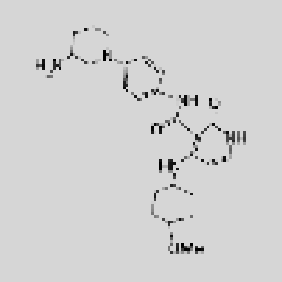 COC1CCC(Nc2cc[nH]c(=O)c2C(=O)Nc2ccc(N3CCCC(N)C3)cc2)CC1